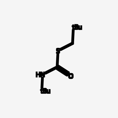 CC(C)(C)CSC(=O)NC(C)(C)C